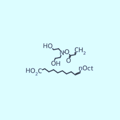 C=CC(=O)ON(CCO)CCO.CCCCCCCC/C=C\CCCCCCCC(=O)O